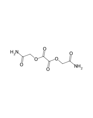 NC(=O)COC(=O)C(=O)OCC(N)=O